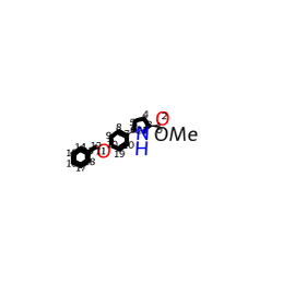 COC(=O)[C@@H]1CC[C@@H](C2=CCC(OCc3ccccc3)C=C2)N1